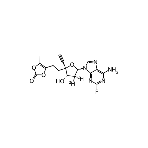 [2H]C1([2H])[C@H](n2cnc3c(N)nc(F)nc32)O[C@@](C#C)(C[CH]c2oc(=O)oc2C)[C@H]1O